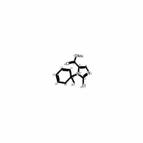 CCc1ncc(C(=O)OC)n1C1(I)C=CC=CC1